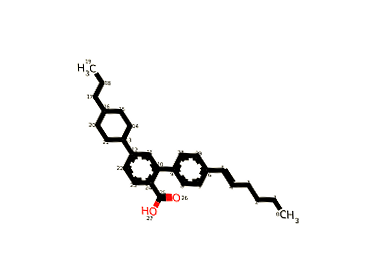 CCCCC=Cc1ccc(-c2cc(C3CCC(CCC)CC3)ccc2C(=O)O)cc1